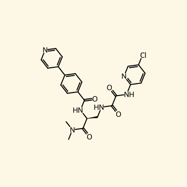 CN(C)C(=O)[C@H](CNC(=O)C(=O)Nc1ccc(Cl)cn1)NC(=O)c1ccc(-c2ccncc2)cc1